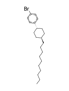 CCCCCCCCCC[C@H]1CC[C@H](c2ccc(Br)cc2)CC1